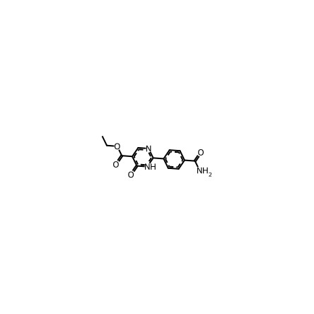 CCOC(=O)c1cnc(-c2ccc(C(N)=O)cc2)[nH]c1=O